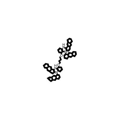 c1cc(Nc2cccc3cc4ccccc4cc23)c(Nc2cccc3cc4ccccc4cc23)c(OCCCCOc2cccc(Nc3cccc4cc5ccccc5cc34)c2Nc2cccc3cc4ccccc4cc23)c1